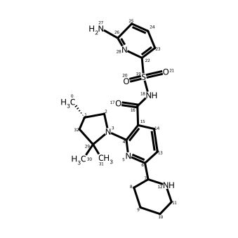 C[C@@H]1CN(c2nc(C3CCCCN3)ccc2C(=O)NS(=O)(=O)c2cccc(N)n2)C(C)(C)C1